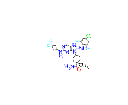 CC1(C(N)=O)CCC(n2c(Nc3c(F)cc(Cl)cc3F)nc3cnc(NC4CC(F)(F)C4)nc32)CC1